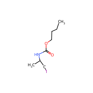 CCCCOC(=O)NC(C)CI